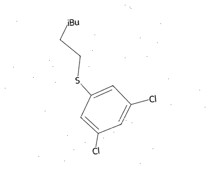 [CH2]C(CC)CCSc1cc(Cl)cc(Cl)c1